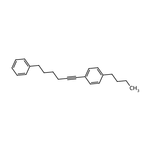 CCCCc1ccc(C#CCCCCc2ccccc2)cc1